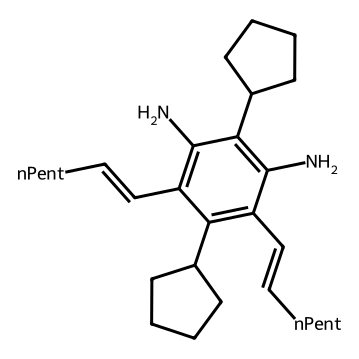 CCCCCC=Cc1c(N)c(C2CCCC2)c(N)c(C=CCCCCC)c1C1CCCC1